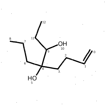 [CH]=CCCC(O)(CCC)C(O)CC